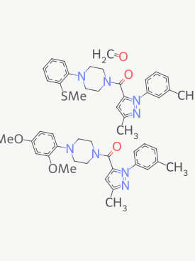 C=O.COc1ccc(N2CCN(C(=O)c3cc(C)nn3-c3cccc(C)c3)CC2)c(OC)c1.CSc1ccccc1N1CCN(C(=O)c2cc(C)nn2-c2cccc(C)c2)CC1